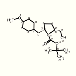 COC1CCC(C[C@@H]2CC[C@H](CO)N2C(=O)OC(C)(C)C)CC1